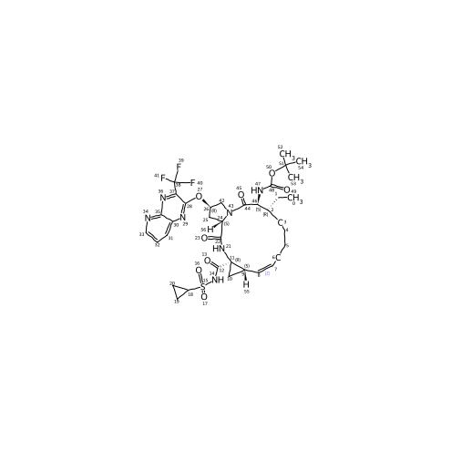 CC[C@@H]1CCCC/C=C\[C@@H]2C[C@@]2(C(=O)NS(=O)(=O)C2CC2)NC(=O)[C@@H]2C[C@@H](Oc3nc4cccnc4nc3C(F)(F)F)CN2C(=O)[C@H]1NC(=O)OC(C)(C)C